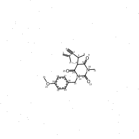 C#CC(C)[C@@]1(CC=C)C(=O)N(C)C(=O)N(Cc2ccc(OC)cc2)C1=O